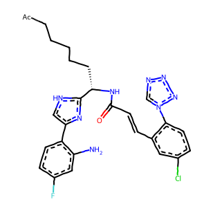 CC(=O)CCCCC[C@H](NC(=O)/C=C/c1cc(Cl)ccc1-n1cnnn1)c1nc(-c2ccc(F)cc2N)c[nH]1